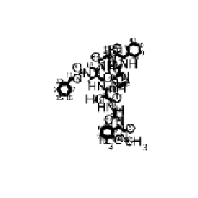 CCCC(NC(=O)C1CN(C(=O)OCc2ccccc2)CC1NC(=O)C(NC(=O)C(NC(=O)c1cnccn1)C1CCCCC1)C(C)(C)C)C(O)C(=O)NCC(=O)NC(C(=O)N(C)C)c1ccccc1